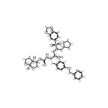 O=C(N[C@@H](Cc1ccc(OCc2ccccn2)cc1)[C@H](O)CN(CC1CCCC1)S(=O)(=O)c1ccc2c(c1)OCO2)O[C@H]1CO[C@H]2OCC[C@H]21